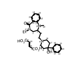 CCN1CC(CCN2CCC(O)(c3ccccc3)CC2)N(C)c2ccccc2C1=O.O=C(O)C=CC(=O)O